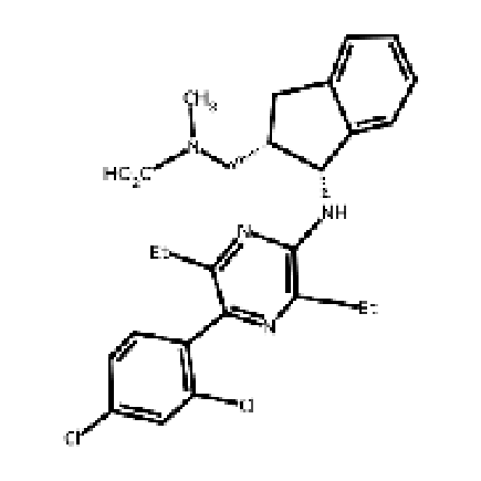 CCc1nc(-c2ccc(Cl)cc2Cl)c(CC)nc1N[C@H]1c2ccccc2C[C@H]1CN(C)C(=O)O